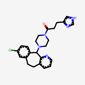 O=C(CCc1c[nH]cn1)N1CCN(C2c3ccc(Cl)cc3CCc3cccnc32)CC1